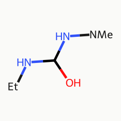 CCNC(O)NNC